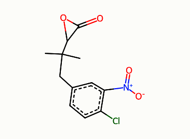 CC(C)(Cc1ccc(Cl)c([N+](=O)[O-])c1)C1OC1=O